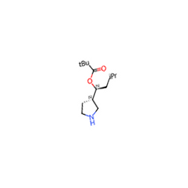 CC(C)C[C@H](OC(=O)C(C)(C)C)[C@H]1CCNC1